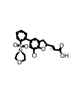 O=C(O)/C=C/C1Cc2cc(-c3ccccc3S(=O)(=O)N3CCOCC3)cc(Cl)c2O1